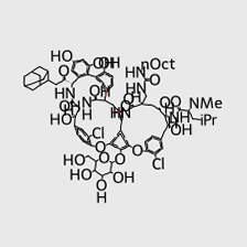 CCCCCCCCNC(=O)NC[C@@H]1CC(=O)[C@H](NC(=O)[C@@H](CC(C)C)NC)[C@H](O)c2ccc(c(Cl)c2)Oc2cc3cc(c2OC2OC(CO)C(O)C(O)C2O)Oc2ccc(cc2Cl)[C@@H](O)[C@@H]2NC(=O)[C@H](CC(=O)[C@@H]3NC1=O)c1ccc(O)c(c1)-c1c(O)cc(O)cc1[C@@H](C(=O)CC1C3CC4CC(C3)CC1C4)NC2=O